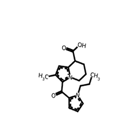 CCCn1cccc1C(=O)c1c(C)cc2n1CCCC2C(=O)O